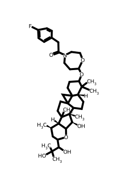 C[C@@H]1CC(C(O)C(C)(C)O)OC2[C@H]1C1(C)CCC34CC35CCC(OC3CCN(C(=O)Cc6ccc(F)cc6)CCO3)C(C)(C)[C@@H]5CCC4[C@]1(C)[C@H]2O